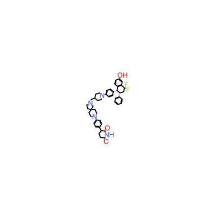 O=C1CCC(c2ccc(N3CCC4(CCN(CC5CCN(c6ccc([C@@H]7c8ccc(O)cc8C(F)(F)C[C@@H]7c7ccccc7)cc6)CC5)C4)CC3)cc2)C(=O)N1